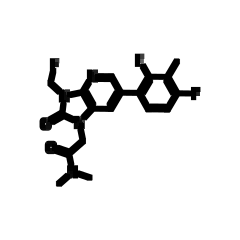 Cc1c(F)ccc(-c2cnc3c(c2)n(CC(=O)N(C)C)c(=O)n3CF)c1F